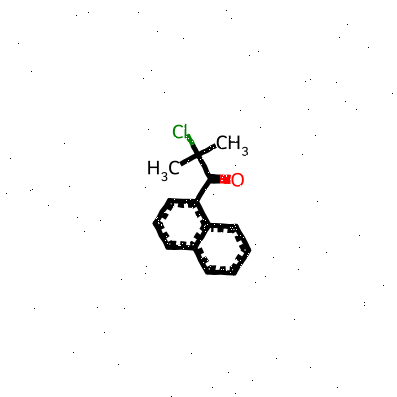 CC(C)(Cl)C(=O)c1cccc2ccccc12